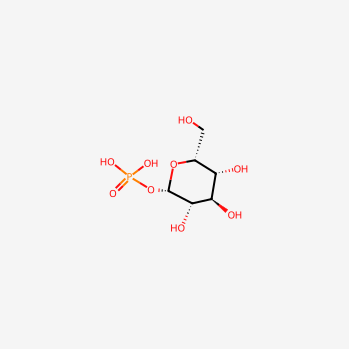 O=P(O)(O)O[C@@H]1O[C@H](CO)[C@H](O)[C@@H](O)[C@@H]1O